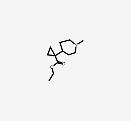 CCOC(=O)C1(C2CCN(C)CC2)CC1